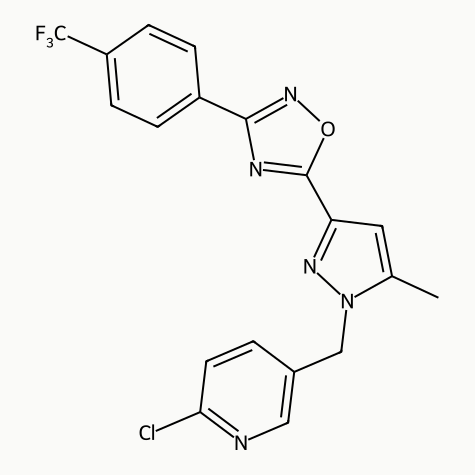 Cc1cc(-c2nc(-c3ccc(C(F)(F)F)cc3)no2)nn1Cc1ccc(Cl)nc1